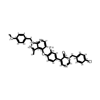 COc1ccc(Cn2nc(C)c3c(Oc4ccc(-c5cncn(Cc6ccc(Cl)cc6)c5=O)cc4F)ccnc32)cc1